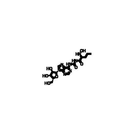 CCCC(NO)C(=O)NC(=O)Nc1ncnc2c1ncn2[C@@H]1O[C@H](CO)[C@@H](O)[C@H]1O